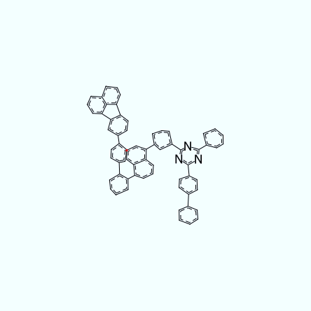 c1ccc(-c2ccc(-c3nc(-c4ccccc4)nc(-c4cccc(-c5cccc6c(-c7ccccc7-c7ccc(-c8ccc9c(c8)-c8cccc%10cccc-9c8%10)cc7)cccc56)c4)n3)cc2)cc1